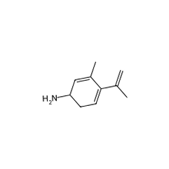 C=C(C)C1=CCC(N)C=C1C